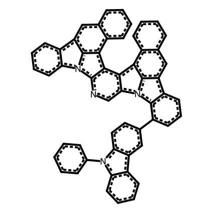 c1ccc(-n2c3ccccc3c3cc(-c4cccc5c6cc7ccccc7c7c8c9c%10c%11ccccc%11cc%11c%12ccccc%12n(c9ncc8n(c45)c67)c%11%10)ccc32)cc1